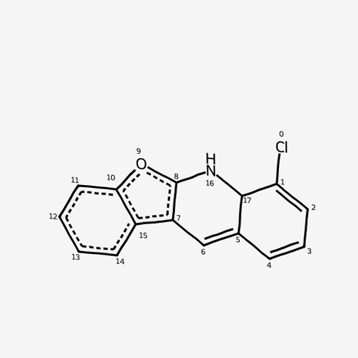 ClC1=CC=CC2=Cc3c(oc4ccccc34)NC12